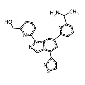 CC(N)c1cccc(-c2cc(-c3ccsn3)c3cnn(-c4cccc(CO)n4)c3c2)n1